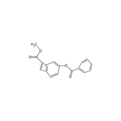 COC(=O)C1=Cc2ccc(OC(=O)c3ccccc3)cc21